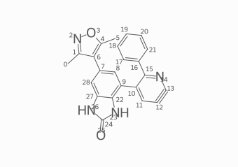 Cc1noc(C)c1-c1cc(-c2cc#cnc2-c2ccccc2)c2[nH]c(=O)[nH]c2c1